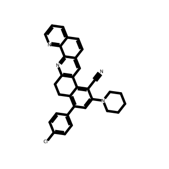 N#Cc1c(N2CCCCC2)cc(-c2ccc(Cl)cc2)c2c1-c1cc3ccc4cccnc4c3nc1CC2